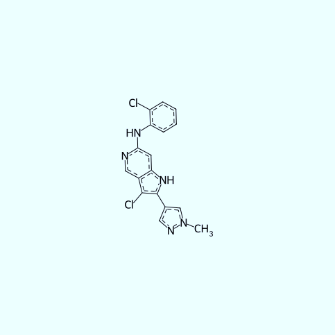 Cn1cc(-c2[nH]c3cc(Nc4ccccc4Cl)ncc3c2Cl)cn1